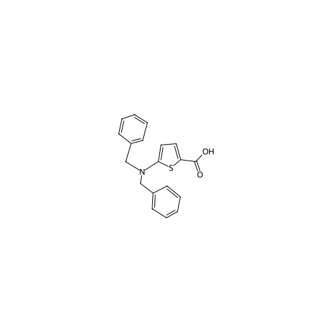 O=C(O)c1ccc(N(Cc2ccccc2)Cc2ccccc2)s1